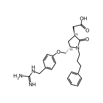 N=C(N)NCc1ccc(OC[C@@H]2C[C@@H](CC(=O)O)C(=O)N2CCCc2ccccc2)cc1